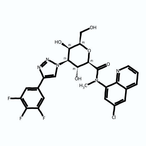 CN(C(=O)[C@@H]1O[C@H](CO)[C@H](O)[C@H](n2cc(-c3cc(F)c(F)c(F)c3)nn2)[C@H]1O)c1cc(Cl)cc2cccnc12